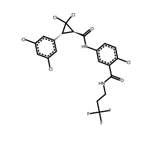 O=C(NCCC(F)(F)F)c1cc(NC(=O)[C@H]2[C@H](c3cc(Cl)cc(Cl)c3)C2(Cl)Cl)ccc1Cl